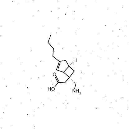 CCCCC1=CC2[C@@H](C1)C[C@@]2(CN)CC(=O)O